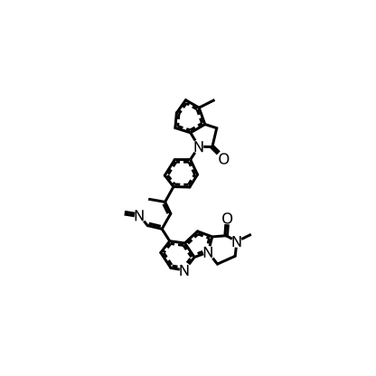 C=N/C=C(\C=C(/C)c1ccc(N2C(=O)Cc3c(C)cccc32)cc1)c1ccnc2c1cc1n2CCN(C)C1=O